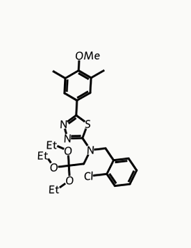 CCOC(CN(Cc1ccccc1Cl)c1nnc(-c2cc(C)c(OC)c(C)c2)s1)(OCC)OCC